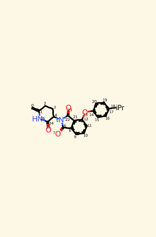 C=C1CCC(N2C(=O)c3cccc(Oc4ccc(C(C)C)cc4)c3C2=O)C(=O)N1